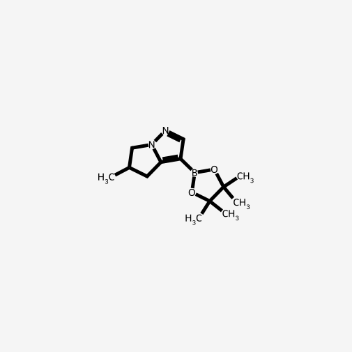 CC1Cc2c(B3OC(C)(C)C(C)(C)O3)cnn2C1